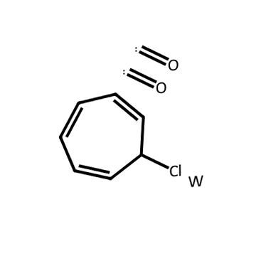 ClC1C=CC=CC=C1.[C]=O.[C]=O.[W]